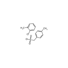 C[n+]1ccccc1Cl.Cc1ccc(CS(=O)(=O)[O-])cc1